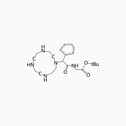 CC(C)(C)OC(=O)CNC(=O)C(c1ccccc1)N1CCNCCNCCNCC1